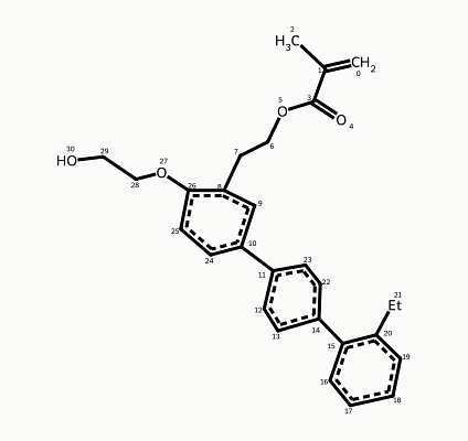 C=C(C)C(=O)OCCc1cc(-c2ccc(-c3ccccc3CC)cc2)ccc1OCCO